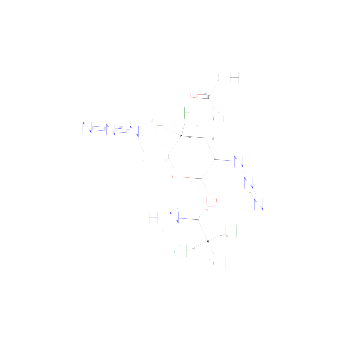 CC(=O)O[C@@H]1C(N=[N+]=[N-])C(OC(N)C(Cl)(Cl)Cl)O[C@H](CN=[N+]=[N-])C1(F)F